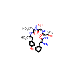 C[C@@H](O)[C@H](NC(=O)[C@@H](N)Cc1ccccc1)C(=O)N[C@@H](CO)C(=O)N[C@@H](CC(=O)O)C(=O)N[C@@H](Cc1ccc(O)cc1)C(=O)O